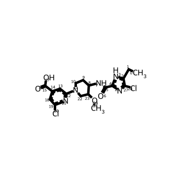 CCc1[nH]c(C(=O)NC2CCN(c3cc(C(=O)O)cc(Cl)n3)CC2OC)nc1Cl